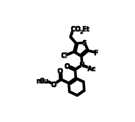 CCCCOC(=O)C1=C(C(=O)N(C(C)=O)c2c(F)sc(CC(=O)OCC)c2Cl)CCCC1